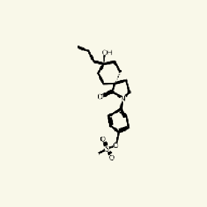 CCC[C@]1(O)CC[C@@]2(CCN(c3ccc(OS(C)(=O)=O)cc3)C2=O)CC1